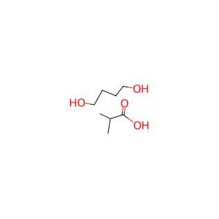 CC(C)C(=O)O.OCCCCO